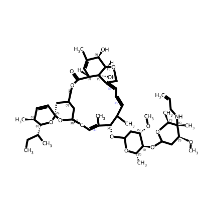 C=CCN[C@@]1(C)[C@H](C)OC(O[C@H]2[C@H](C)OC(O[C@@H]3/C(C)=C/C[C@@H]4C[C@@H](C[C@]5(C=C[C@H](C)[C@@H](C(C)CC)O5)O4)OC(=O)[C@@H]4C=C(C)[C@@H](O)[C@H]5OC/C(=C\C=C\C3C)[C@]54O)C[C@@H]2OC)C[C@@H]1OC